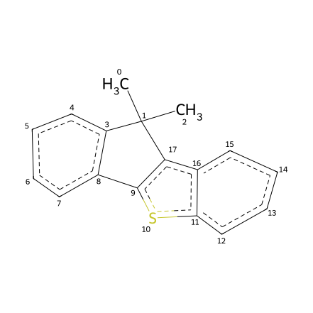 CC1(C)c2ccccc2-c2sc3ccccc3c21